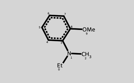 [CH2]CN(C)c1ccccc1OC